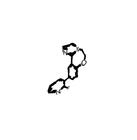 Fc1ncccc1-c1ccc2c(c1)-c1nccn1CCO2